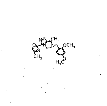 COc1ccc(CN2CCn3c(-c4nc(C)co4)nnc3[C@H]2C)c(OC)c1